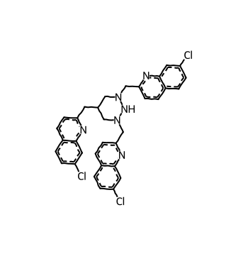 Clc1ccc2ccc(CC3CN(Cc4ccc5ccc(Cl)cc5n4)NN(Cc4ccc5ccc(Cl)cc5n4)C3)nc2c1